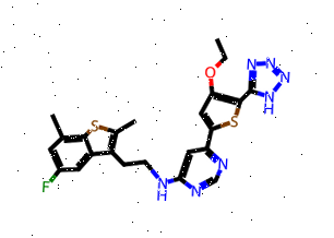 CCOc1cc(-c2cc(NCCc3c(C)sc4c(C)cc(F)cc34)ncn2)sc1-c1nnn[nH]1